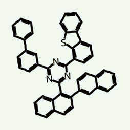 c1ccc(-c2cccc(-c3nc(-c4c(-c5ccc6ccccc6c5)ccc5ccccc45)nc(-c4cccc5c4sc4ccccc45)n3)c2)cc1